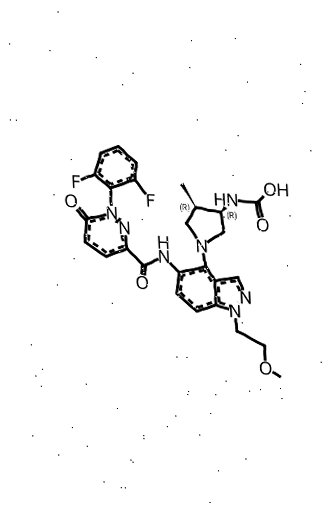 COCCn1ncc2c(N3C[C@@H](C)[C@@H](NC(=O)O)C3)c(NC(=O)c3ccc(=O)n(-c4c(F)cccc4F)n3)ccc21